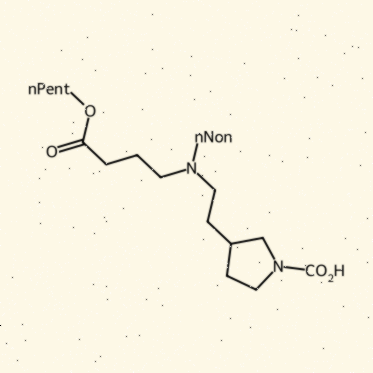 CCCCCCCCCN(CCCC(=O)OCCCCC)CCC1CCN(C(=O)O)C1